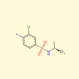 C[C@H](NS(=O)(=O)c1ccc(I)c(Cl)c1)C(F)(F)F